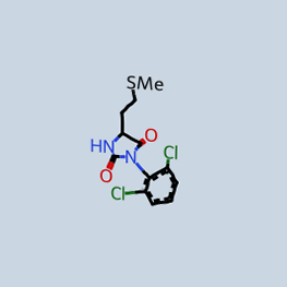 CSCCC1NC(=O)N(c2c(Cl)cccc2Cl)C1=O